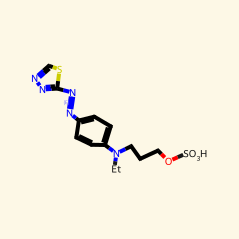 CCN(CCCOS(=O)(=O)O)c1ccc(/N=N/c2nncs2)cc1